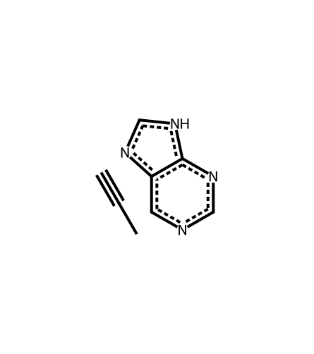 C#CC.c1ncc2nc[nH]c2n1